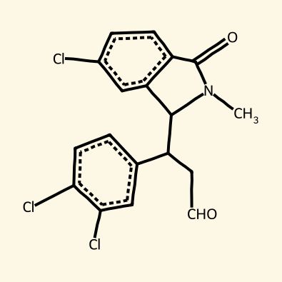 CN1C(=O)c2ccc(Cl)cc2C1C(CC=O)c1ccc(Cl)c(Cl)c1